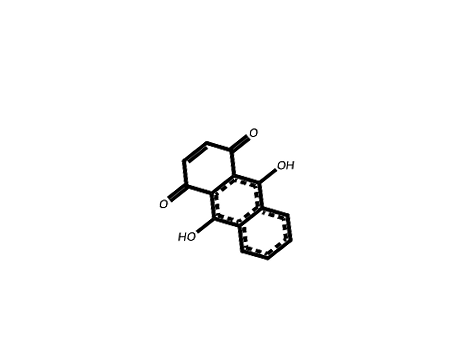 O=C1C=CC(=O)c2c1c(O)c1ccccc1c2O